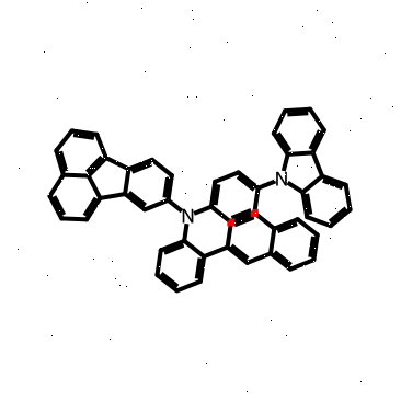 c1ccc(N(c2ccc(-n3c4ccccc4c4ccccc43)cc2)c2ccc3c(c2)-c2cccc4cccc-3c24)c(-c2ccc3ccccc3c2)c1